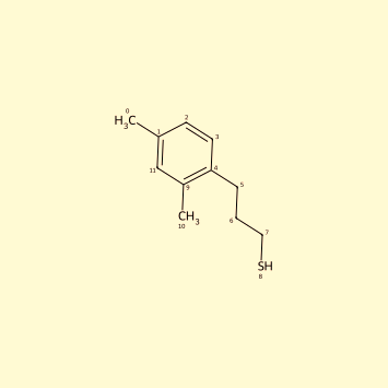 Cc1ccc(CCCS)c(C)c1